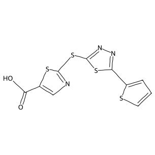 O=C(O)c1cnc(Sc2nnc(-c3cccs3)s2)s1